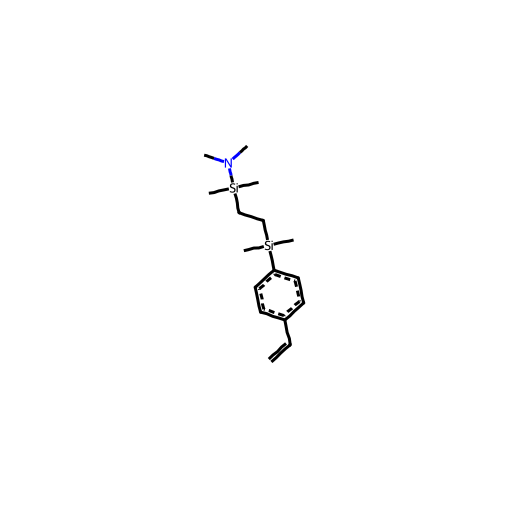 C=Cc1ccc([Si](C)(C)CC[Si](C)(C)N(C)C)cc1